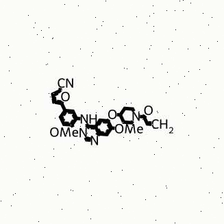 C=CC(=O)N1CCC(Oc2cc3c(Nc4cc(-c5ccc(C#N)o5)ccc4OC)ncnc3cc2OC)CC1